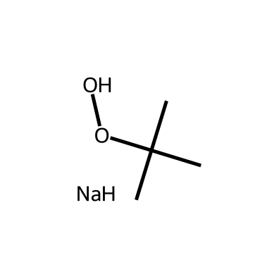 CC(C)(C)OO.[NaH]